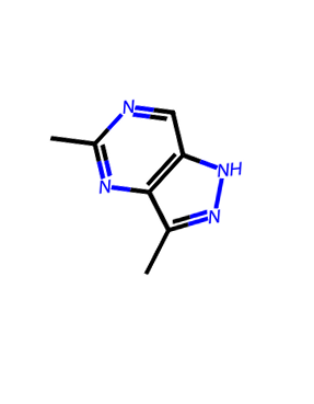 Cc1ncc2[nH]nc(C)c2n1